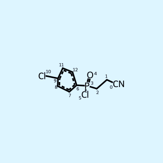 N#CCCP(=O)(Cl)c1ccc(Cl)cc1